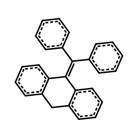 c1ccc(C(=C2c3ccccc3Cc3ccccc32)c2ccccc2)cc1